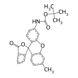 Cc1ccc2c(c1)Oc1cc(NC(=O)OC(C)(C)C)ccc1C21OC(=O)c2ccccc21